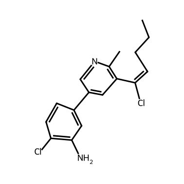 CCC/C=C(/Cl)c1cc(-c2ccc(Cl)c(N)c2)cnc1C